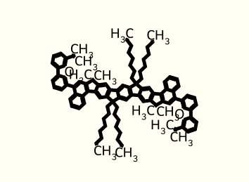 CCCCCCCCC1(CCCCCCCC)c2cc3c(cc2-c2cc4c(cc21)-c1cc2c(cc1C4(CCCCCCCC)CCCCCCCC)-c1c(cc(-c4cccc5c4oc4c(C(C)C)cccc45)c4ccccc14)C2(C)C)C(C)(C)c1cc(-c2cccc4c2oc2c(C(C)C)cccc24)c2ccccc2c1-3